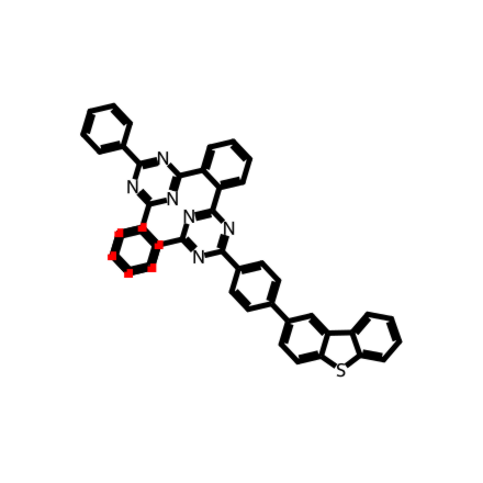 c1ccc(-c2nc(-c3ccccc3)nc(-c3ccccc3-c3nc(-c4ccccc4)nc(-c4ccc(-c5ccc6sc7ccccc7c6c5)cc4)n3)n2)cc1